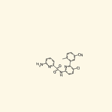 Cc1ccc(C#N)cc1-c1nc(NS(=O)(=O)c2cccc(N)n2)ccc1Cl